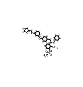 Cc1c(NS(C)(=O)=O)cccc1N(Cc1ccccc1)Cc1ccc(Oc2cccc(OCC3CCNC3)c2)cc1